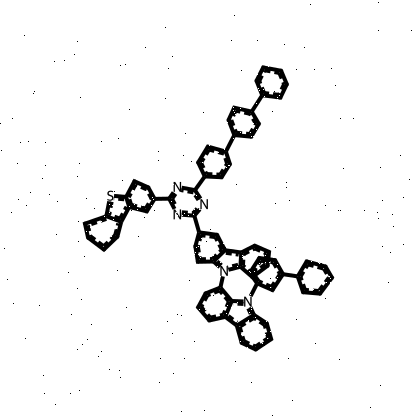 c1ccc(-c2ccc(-c3ccc(-c4nc(-c5ccc6sc7ccccc7c6c5)nc(-c5ccc6c(c5)c5ccccc5n6-c5cccc6c7ccccc7n(-c7cccc(-c8ccccc8)c7)c56)n4)cc3)cc2)cc1